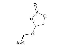 CC[C@H](C)COC1COC(=O)O1